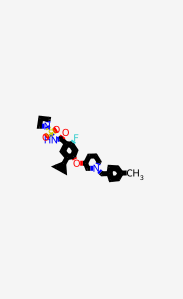 Cc1ccc(CN2CCCC(Oc3cc(F)c(C(=O)NS(=O)(=O)N4CCC4)cc3C3CC3)C2)cc1